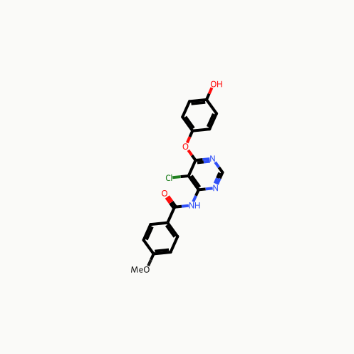 COc1ccc(C(=O)Nc2ncnc(Oc3ccc(O)cc3)c2Cl)cc1